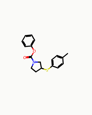 Cc1ccc(SC2CCN(C(=O)Oc3ccccc3)C2)cc1